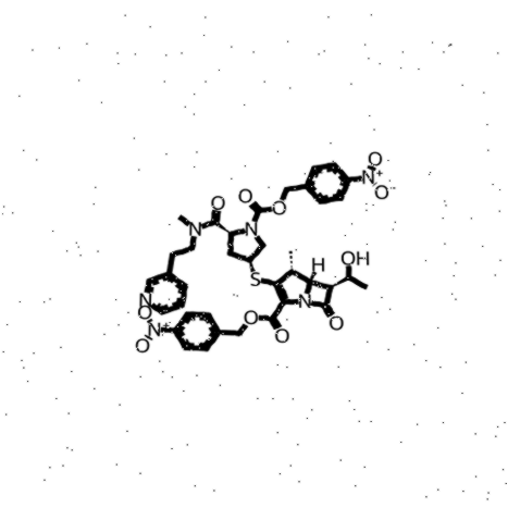 CC(O)[C@H]1C(=O)N2C(C(=O)OCc3ccc([N+](=O)[O-])cc3)=C(S[C@H]3C[C@@H](C(=O)N(C)CCc4cccnc4)N(C(=O)OCc4ccc([N+](=O)[O-])cc4)C3)[C@H](C)[C@H]12